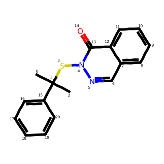 CC(C)(Sn1ncc2ccccc2c1=O)c1ccccc1